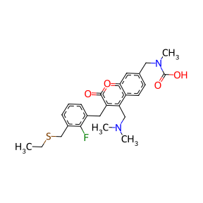 CCSCc1cccc(Cc2c(CN(C)C)c3ccc(CN(C)C(=O)O)cc3oc2=O)c1F